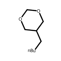 CCCCCC1COCOC1